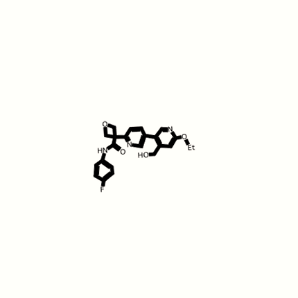 CCOc1cc(CO)c(-c2ccc(C3(C(=O)Nc4ccc(F)cc4)COC3)nc2)cn1